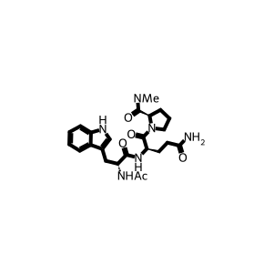 CNC(=O)[C@H]1CCCN1C(=O)[C@@H](CCC(N)=O)NC(=O)[C@@H](Cc1c[nH]c2ccccc12)NC(C)=O